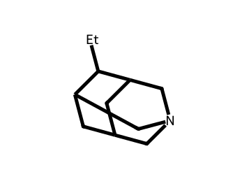 CCC1C2CC3CC1CN(C3)C2